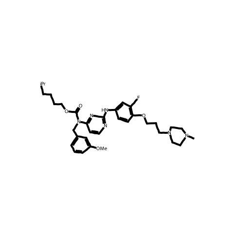 COc1cccc(CN(C(=O)OCCCCC(C)C)c2ccnc(Nc3ccc(OCCCN4CCN(C)CC4)c(F)c3)n2)c1